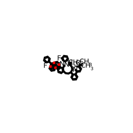 C=C1CC2C(CCc3ccc4c(sc5cc(-c6ccccc6F)ccc54)c3-c3n(-c4ccc5ccccc5c4)c4c(F)cccc4[n+]31)c1ccccc1-c1ccc([Si](C)(C)C)c[n+]12